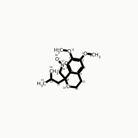 COc1cc2c(cc1OC)C(CC(C)C)(C[N+](=O)[O-])OCC2